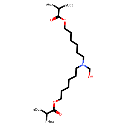 CCCCCCCCC(CCCCCC)C(=O)OCCCCCCN(CO)CCCCCCOC(=O)C(CCCCCC)CCCCCCCC